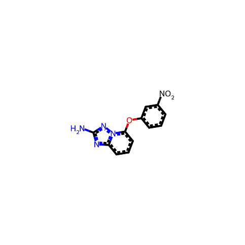 Nc1nc2cccc(Oc3cccc([N+](=O)[O-])c3)n2n1